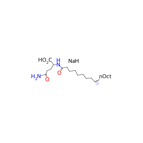 CCCCCCCC/C=C\CCCCCCCC(=O)NC(CCC(N)=O)C(=O)O.[NaH]